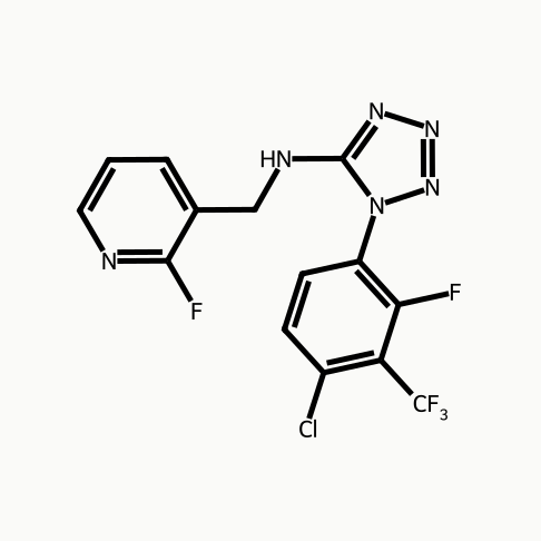 Fc1ncccc1CNc1nnnn1-c1ccc(Cl)c(C(F)(F)F)c1F